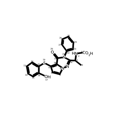 CC(NC(=O)O)c1nn2ccc(Sc3ccccc3O)c2c(=O)n1-c1ccccc1